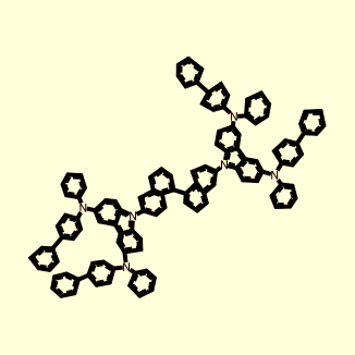 c1ccc(-c2ccc(N(c3ccccc3)c3ccc4c(c3)c3cc(N(c5ccccc5)c5ccc(-c6ccccc6)cc5)ccc3n4-c3ccc4c(-c5cccc6cc(-n7c8ccc(N(c9ccccc9)c9ccc(-c%10ccccc%10)cc9)cc8c8cc(N(c9ccccc9)c9ccc(-c%10ccccc%10)cc9)ccc87)ccc56)cccc4c3)cc2)cc1